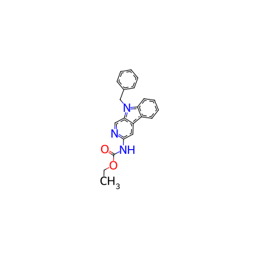 CCOC(=O)Nc1cc2c3ccccc3n(Cc3ccccc3)c2cn1